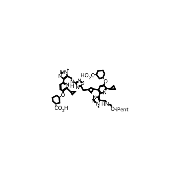 CCC[C@@H](C)OCNCc1c(-c2nc(C3CC3)c(O[C@H]3CCC[C@H](C(=O)O)C3)cc2C2CC(Cc3nc(NCc4c(-c5ccc(O[C@H]6CCC[C@H](C(=O)O)C6)c(C6CC6)n5)nnn4C)no3)C2)nnn1C